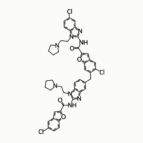 O=C(Nc1nc2cc(Cl)ccc2n1CCN1CCCC1)c1cc2cc(Cl)c(Cc3ccc4c(c3)nc(NC(=O)c3cc5cc(Cl)ccc5o3)n4CCN3CCCC3)cc2o1